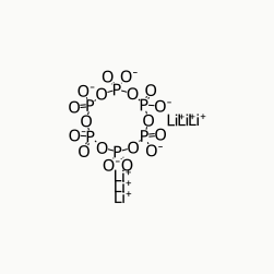 O=P1([O-])OP(=O)([O-])OP(=O)([O-])OP(=O)([O-])OP(=O)([O-])OP(=O)([O-])O1.[Li+].[Li+].[Li+].[Li+].[Li+].[Li+]